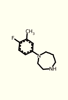 Cc1cc(N2CCCNCC2)ccc1F